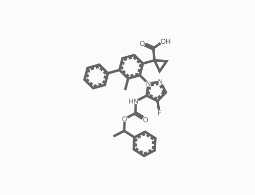 Cc1c(-c2ccccc2)ccc(C2(C(=O)O)CC2)c1-n1ncc(F)c1NC(=O)OC(C)c1ccccc1